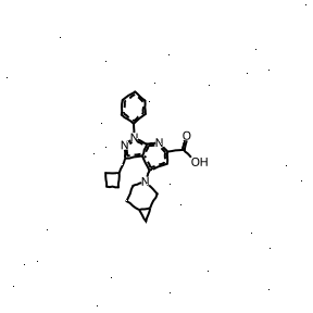 O=C(O)c1cc(N2CCC3CC3C2)c2c(C3CCC3)nn(-c3ccccc3)c2n1